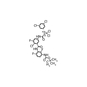 CC(C)(C)OC(=O)Nc1ccc(F)c(NC(=O)c2cc(NC(=O)[C@H]3[C@H](c4cc(Cl)cc(Cl)c4)C3(Cl)Cl)cc(F)c2Cl)c1F